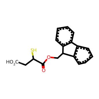 O=C(O)CC(S)C(=O)OCC1c2ccccc2-c2ccccc21